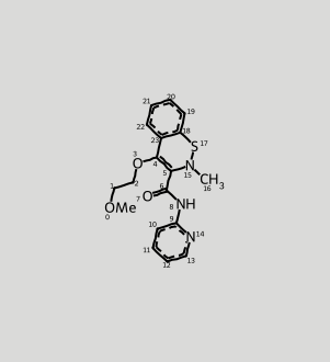 COCCOC1=C(C(=O)Nc2ccccn2)N(C)Sc2ccccc21